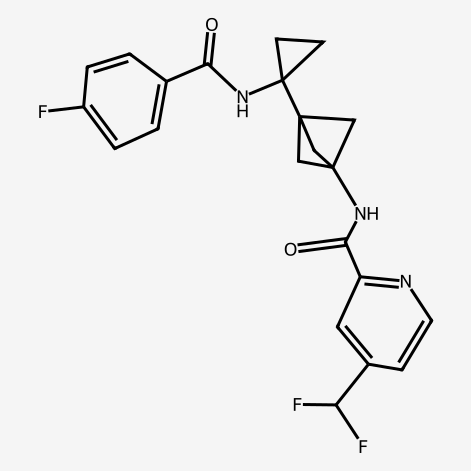 O=C(NC1(C23CC(NC(=O)c4cc(C(F)F)ccn4)(C2)C3)CC1)c1ccc(F)cc1